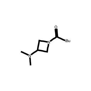 CCC(C)C(=O)N1CC(N(C)C)C1